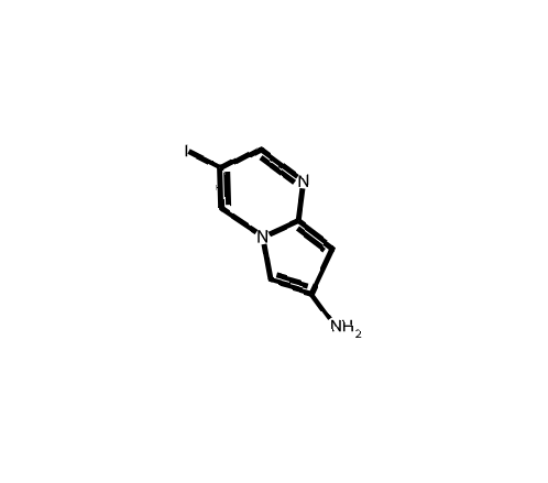 Nc1cc2ncc(I)cn2c1